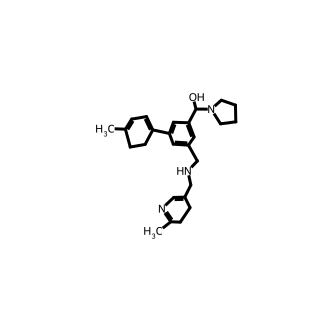 CC1=CC=C(c2cc(CNCC3=CN=C(C)CC3)cc(C(O)N3CCCC3)c2)CC1